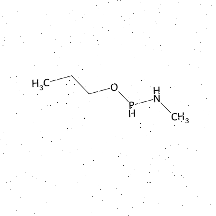 CCCOPNC